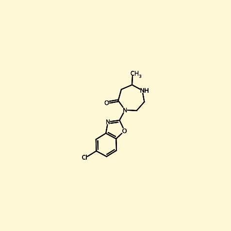 CC1CC(=O)N(c2nc3cc(Cl)ccc3o2)CCN1